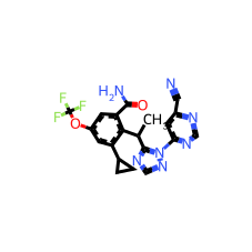 CC(c1c(C(N)=O)cc(OC(F)(F)F)cc1C1CC1)c1ncnn1-c1cc(C#N)ncn1